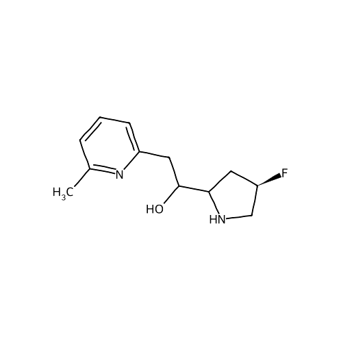 Cc1cccc(CC(O)C2C[C@@H](F)CN2)n1